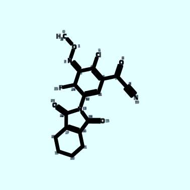 CON=C1C(Cl)=C(C(=O)C#N)C=C(N2C(=O)C3=C(CCCC3)C2=O)C1F